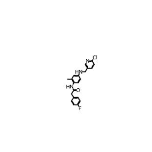 Cc1cc(NCc2ccc(Cl)nc2)ccc1NC(=O)Cc1ccc(F)cc1